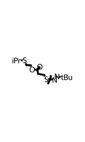 CC(C)SCCOC(=O)CCSC(C)(C)N=NC(C)(C)C